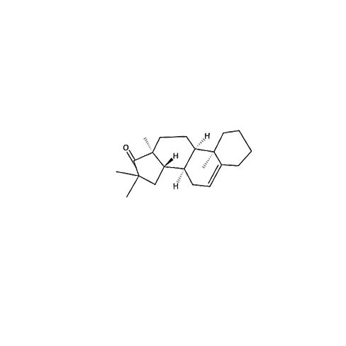 CC1(C)C[C@H]2[C@@H]3CC=C4CCCC[C@]4(C)[C@@H]3CC[C@]2(C)C1=O